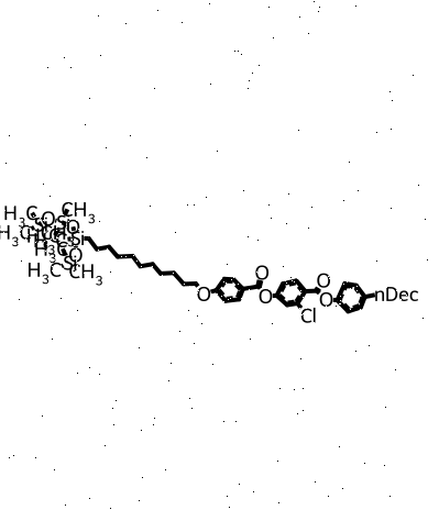 CCCCCCCCCCc1ccc(OC(=O)c2ccc(OC(=O)c3ccc(OCCCCCCCCCCC[Si](C)(O[Si](C)(C)C)O[Si](C)(C)O[Si](C)(C)C)cc3)cc2Cl)cc1